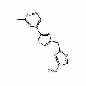 CCOC(=O)c1cnn(Cc2csc(-c3cccc(C)c3)n2)c1